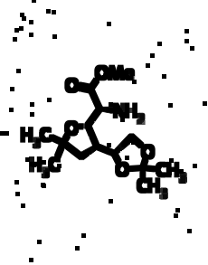 COC(=O)[C@@H](N)[C@H]1OC(C)(C)C[C@@H]1[C@H]1COC(C)(C)O1